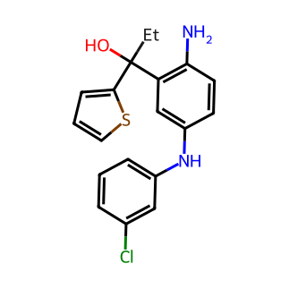 CCC(O)(c1cccs1)c1cc(Nc2cccc(Cl)c2)ccc1N